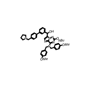 CCCCOc1nc(N(Cc2ccc(OC)cc2)Cc2ccc(OC)cc2)c2ncc(C(O)c3cccc(-c4ccc(CN5CCCC5)cc4)c3)n2n1